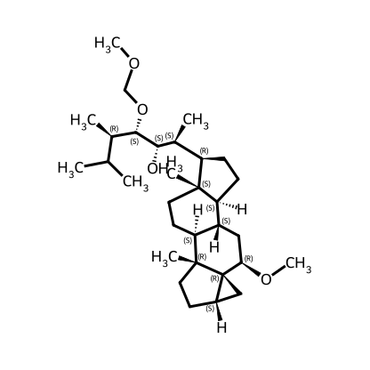 COCO[C@H]([C@@H](O)[C@@H](C)[C@H]1CC[C@H]2[C@@H]3C[C@@H](OC)[C@]45C[C@@H]4CC[C@]5(C)[C@H]3CC[C@]12C)[C@H](C)C(C)C